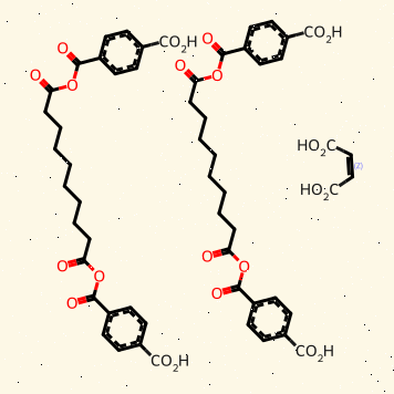 O=C(CCCCCCCCC(=O)OC(=O)c1ccc(C(=O)O)cc1)OC(=O)c1ccc(C(=O)O)cc1.O=C(CCCCCCCCC(=O)OC(=O)c1ccc(C(=O)O)cc1)OC(=O)c1ccc(C(=O)O)cc1.O=C(O)/C=C\C(=O)O